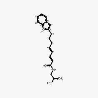 CC(C)CNC(=O)/C=C/C=C/CCCc1cc2ccccc2o1